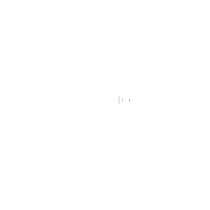 CC(C)(Cc1ccccc1O)c1ccccc1